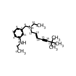 CCNc1cccc(CN(CC)CC=CC#CC(C)(C)C)c1